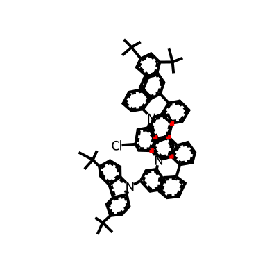 CC(C)(C)c1cc(-c2cccc(N(c3cc(Cl)cc(N(c4cccc(-n5c6ccc(C(C)(C)C)cc6c6cc(C(C)(C)C)ccc65)c4)c4c(-c5ccccc5)cccc4-c4ccccc4)c3)c3c(-c4ccccc4)cccc3-c3ccccc3)c2)cc(C(C)(C)C)c1